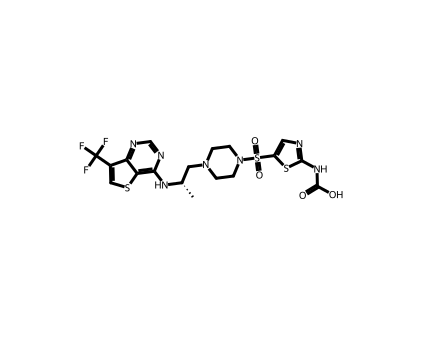 C[C@@H](CN1CCN(S(=O)(=O)c2cnc(NC(=O)O)s2)CC1)Nc1ncnc2c(C(F)(F)F)csc12